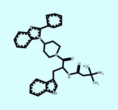 CC(C)(N)CC(=O)NC(Cc1c[nH]c2ccccc12)C(=O)N1CCC(n2c(-c3ccccc3)nc3ccccc32)CC1